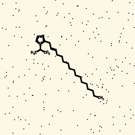 CCCCCCCCCCCCCCC=CCc1nccn1C(C)C